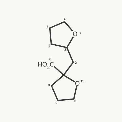 O=C(O)C1(CC2CCCO2)CCCO1